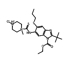 CCCSc1cc2nc(C(C)(C)C)n(C(=O)OCC)c2cc1NC(=S)[N+]1(C)CC[NH+]([O-])CC1